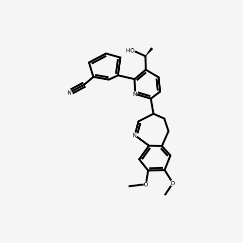 COc1cc2c(cc1OC)N=CC(c1ccc([C@H](C)O)c(-c3cccc(C#N)c3)n1)CC2